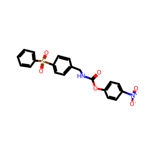 O=C(NCc1ccc(S(=O)(=O)c2ccccc2)cc1)Oc1ccc([N+](=O)[O-])cc1